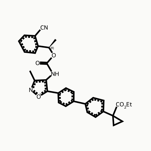 CCOC(=O)C1(c2ccc(-c3ccc(-c4onc(C)c4NC(=O)O[C@H](C)c4ccccc4C#N)cc3)cc2)CC1